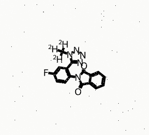 [2H]C([2H])([2H])n1nnnc1-c1cc(F)ccc1N1C(=O)c2ccccc2C1=O